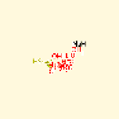 O.O.O.O.O.O.O=S(O)S.[NaH]